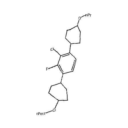 CCCCCOC1CCC(c2ccc(C3CCC(OCCC)CC3)c(Cl)c2F)CC1